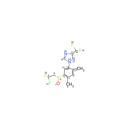 Cc1cc(C)c([S+]([O-])CC(F)F)cc1-n1cnc(C(F)F)n1